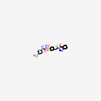 CC1CCC(NC(=O)NS(=O)(=O)c2ccc(CC(Cl)n3cnc4ccccc4c3=O)cc2)CC1